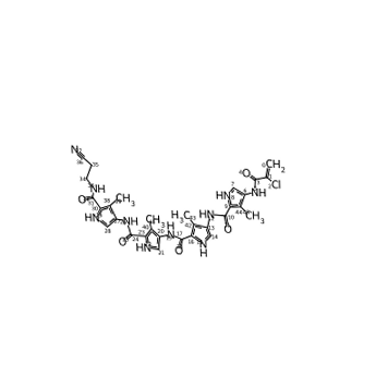 C=C(Cl)C(=O)Nc1c[nH]c(C(=O)Nc2c[nH]c(C(=O)Nc3c[nH]c(C(=O)Nc4c[nH]c(C(=O)NCCC#N)c4C)c3C)c2C)c1C